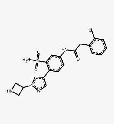 NS(=O)(=O)c1cc(NC(=O)Cc2ccccc2Cl)ccc1-c1cnn(C2CNC2)c1